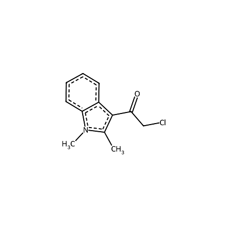 Cc1c(C(=O)CCl)c2ccccc2n1C